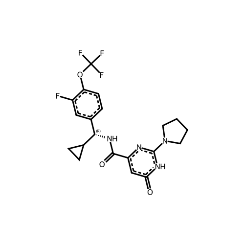 O=C(N[C@@H](c1ccc(OC(F)(F)F)c(F)c1)C1CC1)c1cc(=O)[nH]c(N2CCCC2)n1